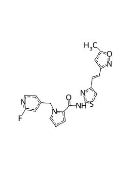 Cc1cc(C=Cc2csc(NC(=O)c3cccn3Cc3ccnc(F)c3)n2)no1